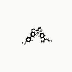 C=CC(N1CCc2cc(-c3ccc(C(F)(F)F)cc3)ccc21)S(=O)(=O)c1ccc(C(=N)NO)cc1